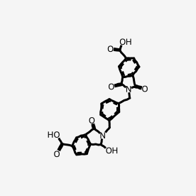 O=C(O)c1ccc2c(c1)C(=O)N(Cc1cccc(CN3C(=O)c4cc(C(=O)O)ccc4C3O)c1)C2=O